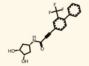 O=C(C#Cc1ccc(-c2ccccc2)c(C(F)(F)F)c1)N[C@H]1C[C@@H](O)[C@@H](O)C1